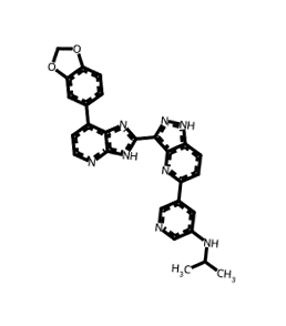 CC(C)Nc1cncc(-c2ccc3[nH]nc(-c4nc5c(-c6ccc7c(c6)OCO7)ccnc5[nH]4)c3n2)c1